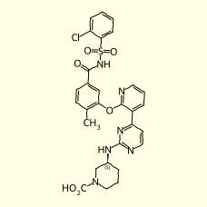 Cc1ccc(C(=O)NS(=O)(=O)c2ccccc2Cl)cc1Oc1ncccc1-c1ccnc(N[C@H]2CCCN(C(=O)O)C2)n1